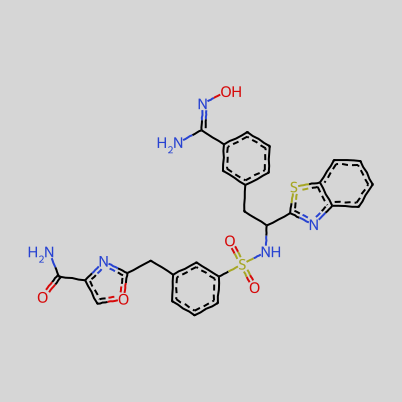 NC(=O)c1coc(Cc2cccc(S(=O)(=O)NC(Cc3cccc(/C(N)=N\O)c3)c3nc4ccccc4s3)c2)n1